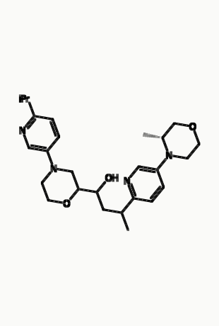 CC(C)c1ccc(N2CCOC(C(O)CC(C)c3ccc(N4CCOC[C@H]4C)cn3)C2)cn1